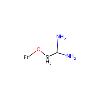 CCO[SiH2]C(N)N